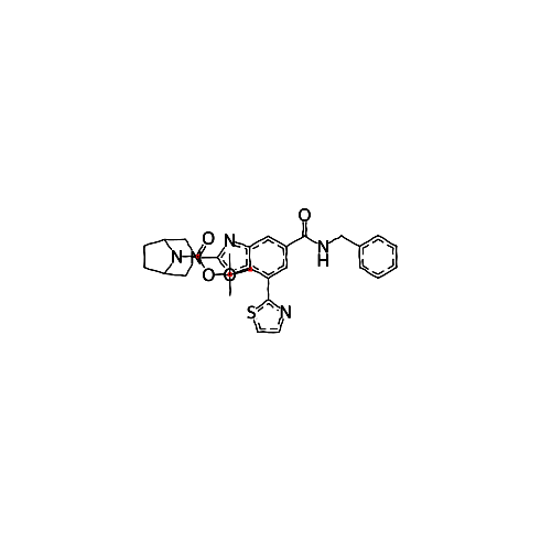 CC(C)(C)OC(=O)N1C2CCC1CN(c1nc3cc(C(=O)NCc4ccccc4)cc(-c4nccs4)c3o1)C2